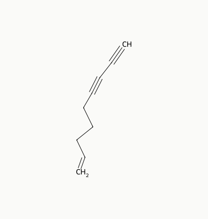 C#CC#CCCCC=C